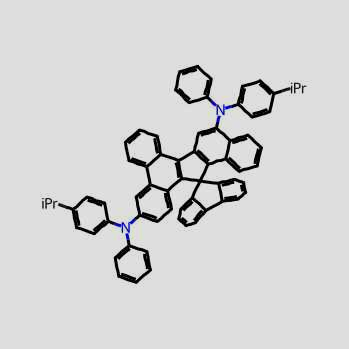 CC(C)c1ccc(N(c2ccccc2)c2ccc3c4c(c5ccccc5c3c2)-c2cc(N(c3ccccc3)c3ccc(C(C)C)cc3)c3ccccc3c2C42c3ccccc3-c3ccccc32)cc1